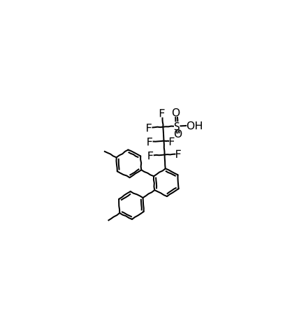 Cc1ccc(-c2cccc(C(F)(F)C(F)(F)C(F)(F)S(=O)(=O)O)c2-c2ccc(C)cc2)cc1